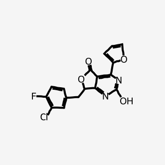 O=C1OC(Cc2ccc(F)c(Cl)c2)c2nc(O)nc(-c3ccco3)c21